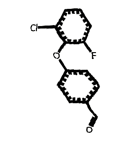 O=Cc1ccc(Oc2c(F)cccc2Cl)cc1